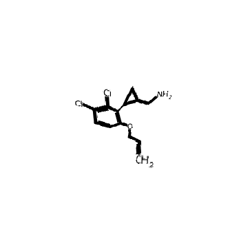 C=CCOc1ccc(Cl)c(Cl)c1[C@H]1CC1CN